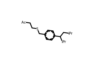 CC(=O)CCSCc1ccc(C(CC(C)C)C(C)C)cc1